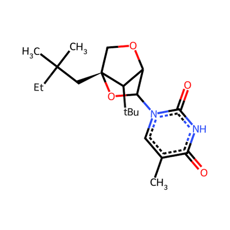 CCC(C)(C)C[C@]12COC(C(n3cc(C)c(=O)[nH]c3=O)O1)C2C(C)(C)C